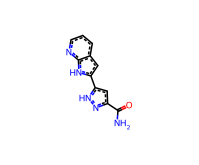 NC(=O)c1cc(-c2cc3cccnc3[nH]2)[nH]n1